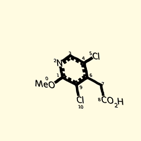 COc1ncc(Cl)c(CC(=O)O)c1Cl